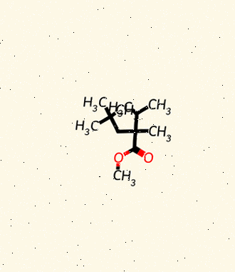 COC(=O)C(C)(CC(C)(C)C)C(C)C